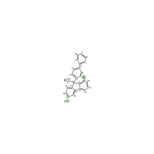 CC1(c2ccc(-c3ccccc3)cc2)c2ccc(Br)cc2-c2cccc(Br)c21